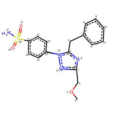 COCc1nc(Cc2ccccc2)n(-c2ccc(S(N)(=O)=O)cc2)n1